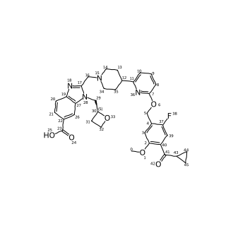 COc1cc(COc2cccc(C3CCN(Cc4nc5ccc(C(=O)O)cc5n4C[C@@H]4CCO4)CC3)n2)c(F)cc1C(=O)C1CC1